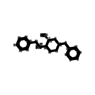 O[C@@H]1CN(Cc2ccccc2)CCC1NCc1ccccc1